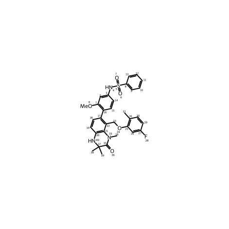 COc1cc(NS(=O)(=O)c2ccccc2)ccc1-c1ccc2c(c1COc1cc(F)ccc1C)N(C)C(=O)C(C)(C)N2